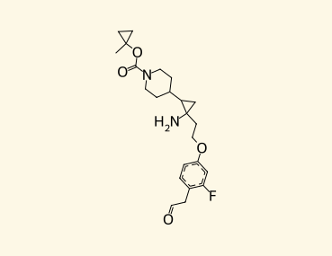 CC1(OC(=O)N2CCC(C3CC3(N)CCOc3ccc(CC=O)c(F)c3)CC2)CC1